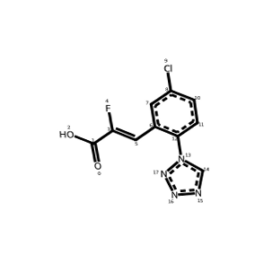 O=C(O)C(F)=Cc1cc(Cl)ccc1-n1cnnn1